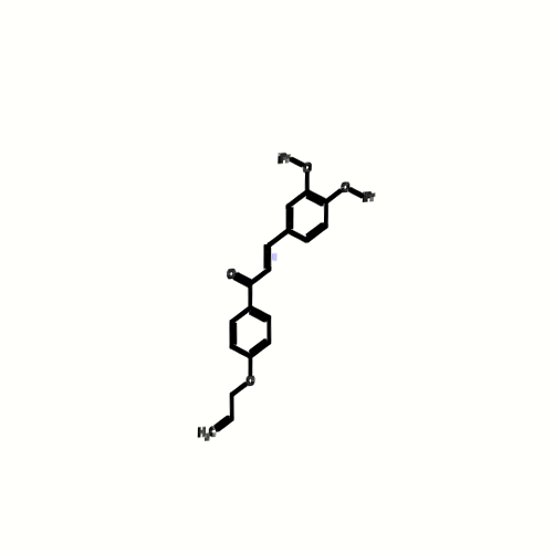 C=CCOc1ccc(C(=O)/C=C/c2ccc(OC(C)C)c(OC(C)C)c2)cc1